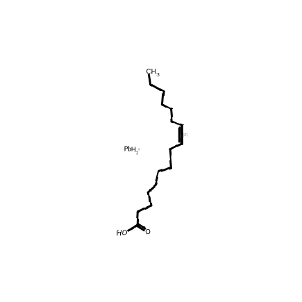 CCCCCC/C=C\CCCCCCCC(=O)O.[PbH2]